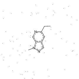 CCc1cc2cnn(C)c2cn1